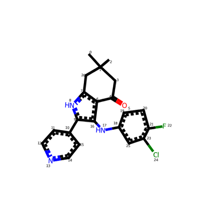 CC1(C)CC(=O)c2c([nH]c(-c3ccncc3)c2Nc2ccc(F)c(Cl)c2)C1